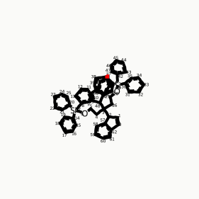 C1=CC(C(CCO[Si](c2ccccc2)(c2ccccc2)c2ccccc2)(CCO[Si](c2ccccc2)(c2ccccc2)c2ccccc2)C2C=Cc3ccccc32)c2ccccc21